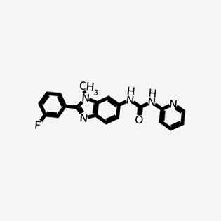 Cn1c(-c2cccc(F)c2)nc2ccc(NC(=O)Nc3ccccn3)cc21